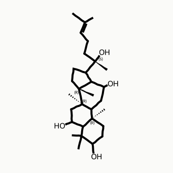 CC(C)=CCC[C@](C)(O)C1CC[C@]2(C)C1C(O)CC1[C@@]3(C)CCC(O)C(C)(C)C3C(O)C[C@]12C